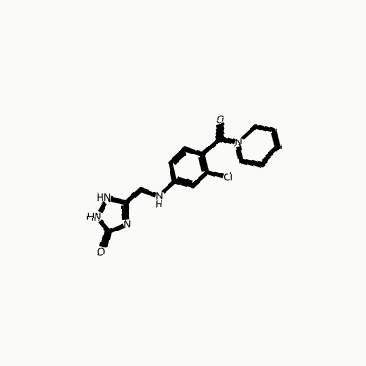 O=C(c1ccc(NCc2nc(=O)[nH][nH]2)cc1Cl)N1CCCCC1